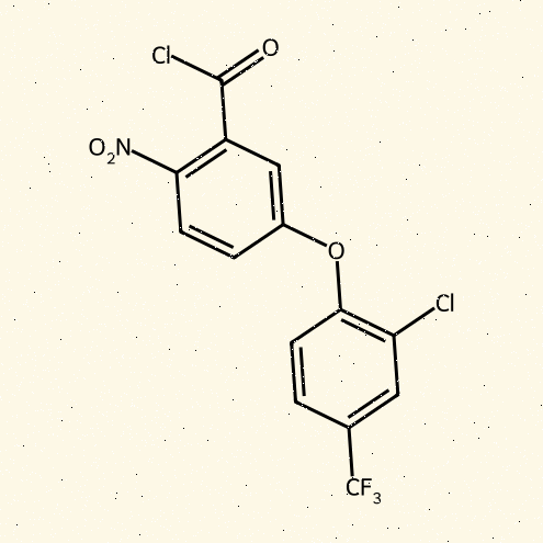 O=C(Cl)c1cc(Oc2ccc(C(F)(F)F)cc2Cl)ccc1[N+](=O)[O-]